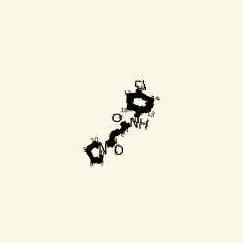 O=C(C=CC(=O)N1CCCC1)Nc1ccc(Cl)cc1